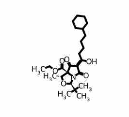 CCOC(=O)[C@@]12C(=O)/C(=C(/O)CCCCC3CCCCC3)C(=O)N1[C@@H](C(C)(C)C)O[C@@H]2C